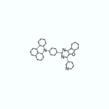 c1cncc(-c2nc(-c3ccc(N4c5ccccc5-c5cccc6cccc4c56)cc3)nc3c2oc2ccccc23)c1